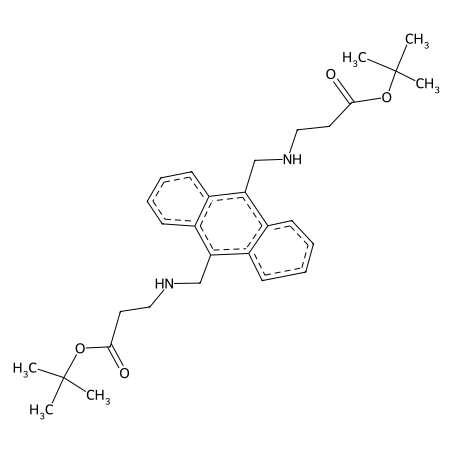 CC(C)(C)OC(=O)CCNCc1c2ccccc2c(CNCCC(=O)OC(C)(C)C)c2ccccc12